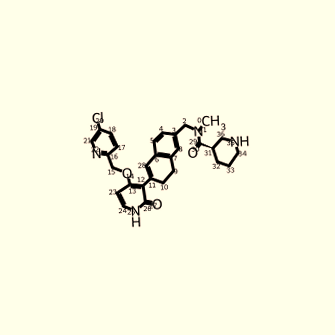 CN(Cc1ccc2c(c1)CCC(c1c(OCc3ccc(Cl)cn3)cc[nH]c1=O)=C2)C(=O)[C@@H]1CCCNC1